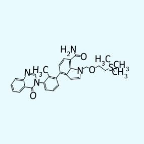 Cc1c(-c2ccc(C(N)=O)c3c2ccn3COCCS(C)(C)C)cccc1-n1cnc2ccccc2c1=O